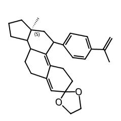 C=C(C)c1ccc(C2C[C@]3(C)CCCC3C3CCC4=CC5(CCC4=C23)OCCO5)cc1